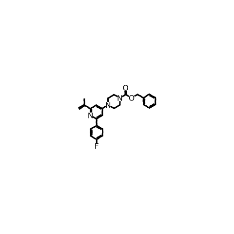 C=C(C)c1cc(N2CCN(C(=O)OCc3ccccc3)CC2)cc(-c2ccc(F)cc2)n1